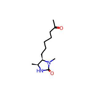 CC(=O)CCCCC[C@@H]1[C@H](C)NC(=O)N1C